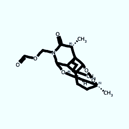 C[C@@H]1CCC23C4OO[C@@]5(C)CCC41C2C(O5)N(COC=O)C(=O)[C@@H]3C